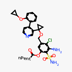 CCCCCC(=O)Oc1cc(COC2(c3cnccc3-c3ccccc3OC3CC3)CC2)c(Cl)c(N)c1S(N)(=O)=O